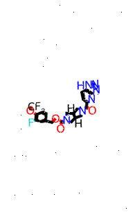 O=C(OCc1ccc(OC(F)(F)F)c(F)c1)N1C[C@@H]2CN(C(=O)c3ccc4[nH]nnc4n3)C[C@H]2C1